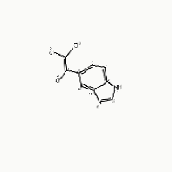 ClC(Cl)=C(Cl)c1ccc2[nH]cnc2c1